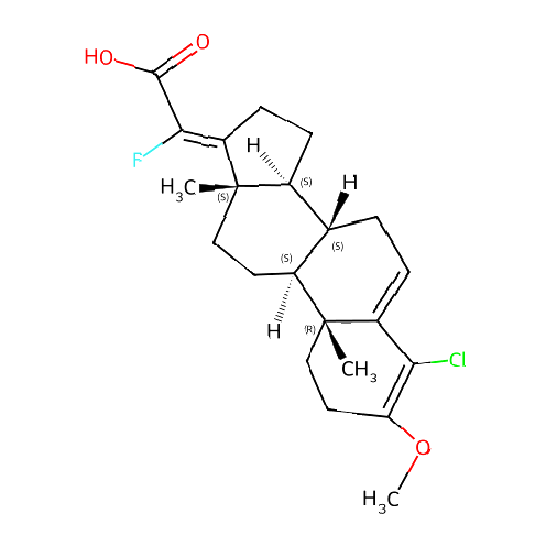 COC1=C(Cl)C2=CC[C@@H]3[C@H](CC[C@]4(C)C(=C(F)C(=O)O)CC[C@@H]34)[C@@]2(C)CC1